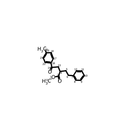 COC(=O)C(CCc1ccccc1)CC(=O)c1ccc(C)cc1